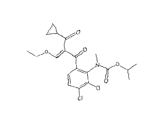 CCOC=C(C(=O)c1ccc(Cl)c(Cl)c1N(C)C(=O)OC(C)C)C(=O)C1CC1